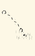 CC(C)(C)[Si](C)(C)OC[C@@H]1C[C@@H](OCCOCCOCCOCCOC2CCCCO2)CN1